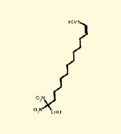 CCCCCCCC/C=C\CCCCCCCCCCC([C]=O)([N+](=O)[O-])[N+](=O)[O-]